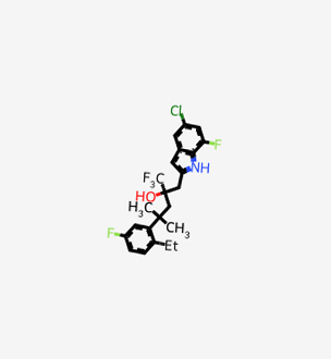 CCc1ccc(F)cc1C(C)(C)CC(O)(Cc1cc2cc(Cl)cc(F)c2[nH]1)C(F)(F)F